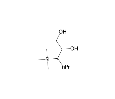 CCC[C](C(O)CO)[Si](C)(C)C